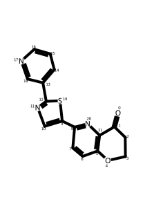 O=C1CCOc2ccc(-c3cnc(-c4cccnc4)s3)nc21